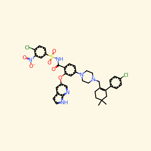 CC1(C)CCC(CN2CCN(c3ccc(C(=O)NS(=O)(=O)c4ccc(Cl)c([N+](=O)[O-])c4)c(Oc4cnc5[nH]ccc5c4)c3)CC2)=C(c2ccc(Cl)cc2)C1